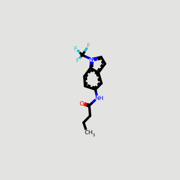 CCCC(=O)Nc1ccc2c(ccn2C(F)(F)F)c1